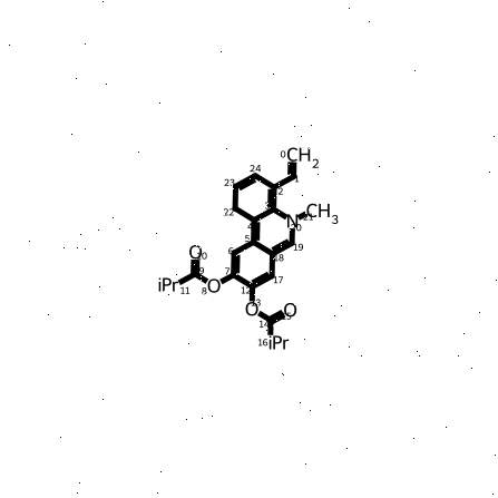 C=CC1=C2C(=c3cc(OC(=O)C(C)C)c(OC(=O)C(C)C)cc3=CN2C)CC=C1